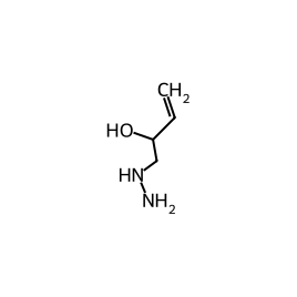 C=CC(O)CNN